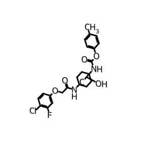 Cc1ccc(OC(=O)NC23CCC(NC(=O)COc4ccc(Cl)c(F)c4)(CC2)CC3O)cc1